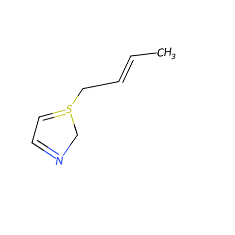 CC=CCS1=CC=NC1